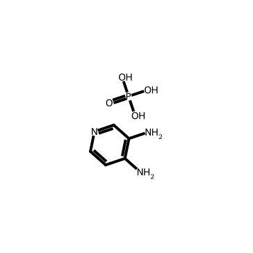 Nc1ccncc1N.O=P(O)(O)O